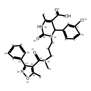 CC1=C(C(=O)O)C(c2cccc(Cl)c2)N(CCCN(C)C(=O)c2c(-c3ccccc3)noc2C)C(=O)N1